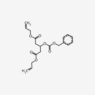 C=CCOC(=O)CC(CC(=O)OCC=C)OC(=O)OCc1ccccc1